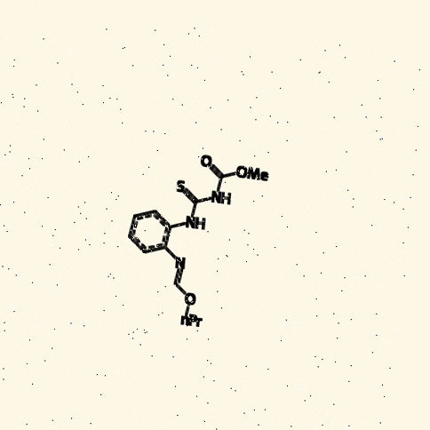 CCCOC=Nc1ccccc1NC(=S)NC(=O)OC